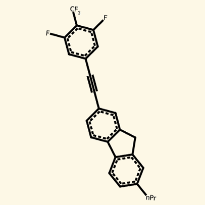 CCCc1ccc2c(c1)Cc1cc(C#Cc3cc(F)c(C(F)(F)F)c(F)c3)ccc1-2